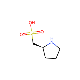 O=S(=O)(O)C[C@@H]1CCCN1